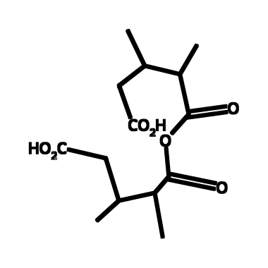 CC(CC(=O)O)C(C)C(=O)OC(=O)C(C)C(C)CC(=O)O